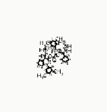 Cc1cc(C)cc(COC(OC(=O)C(=O)OC(OCc2cc(C)cc(C)c2)[C@@H](NCNC=O)c2ccccc2)[C@@H](NCNC=O)c2ccccc2)c1